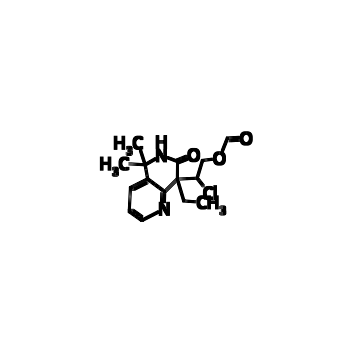 CCC1(C(Cl)COC=O)C(=O)NC(C)(C)c2cccnc21